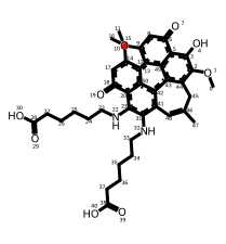 COc1c(O)c2c(=O)cc(OC)c3c4c(OC)cc(=O)c5c(NCCCCCC(=O)O)c(NCCCCCC(=O)O)c6c(c(c1CC(C)=C6)c23)c54